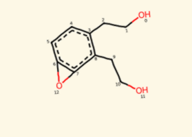 OCCc1ccc2c(c1CCO)O2